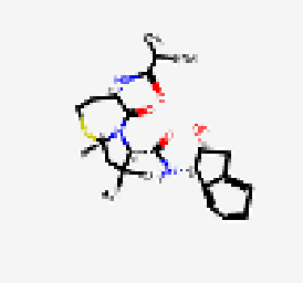 CNC(C)C(=O)N[C@H]1CCS[C@H]2CC(C)(C)[C@@H](C(=O)N[C@H]3c4ccccc4C[C@H]3O)N2C1=O